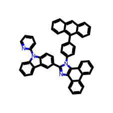 c1ccc(-n2c3ccccc3c3cc(-c4nc5c6ccccc6c6ccccc6c5n4-c4ccc(-c5c6ccccc6cc6ccccc56)cc4)ccc32)nc1